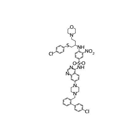 O=[N+]([O-])c1cc(S(=O)(=O)Nc2ncnc3cc(N4CCN(Cc5ccccc5-c5ccc(Cl)cc5)CC4)ccc23)ccc1NC(CCN1CCOCC1)CSc1ccc(Cl)cc1